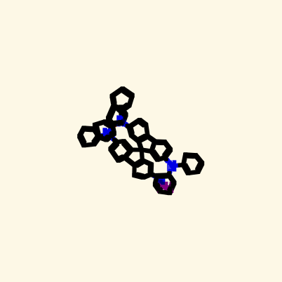 P=Nc1ccc2c(c1)C1(c3cc(N(c4ccccc4)c4ccccc4)ccc3-2)c2cc(N(c3ccccc3)c3ccccc3)ccc2-c2ccc(N(c3ccccc3)c3ccccc3)cc21